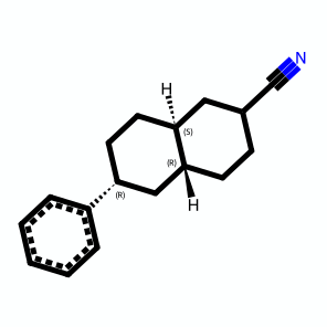 N#CC1CC[C@@H]2C[C@H](c3ccccc3)CC[C@H]2C1